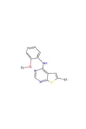 CCOc1ccccc1Nc1ncnc2sc(CC)cc12